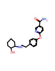 NC(=O)c1ccc(Oc2ccc(CCNC3CCCCC3O)cc2)nc1